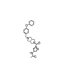 CC(=O)N(C)c1cnn(C(=O)N2CC3CN(Cc4ccc(Oc5ccccc5)cc4)CC3C2)c1